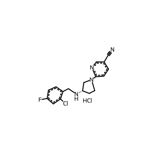 Cl.N#Cc1ccc(N2CC[C@H](NCc3ccc(F)cc3Cl)C2)nc1